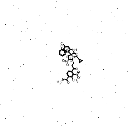 COC(=O)c1ccc(C(=O)CC[C@H]2[C@@H]([N+](=O)[O-])[C@H](c3cccc(Cl)c3F)[C@]3(C(=O)Nc4cc(Cl)ccc43)N2CC2CC2)c([N+](=O)[O-])c1C